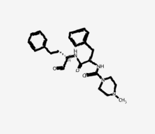 CN1CCN(C(=O)NC(Cc2ccccc2)C(=O)N[C@H](C=O)CCc2ccccc2)CC1